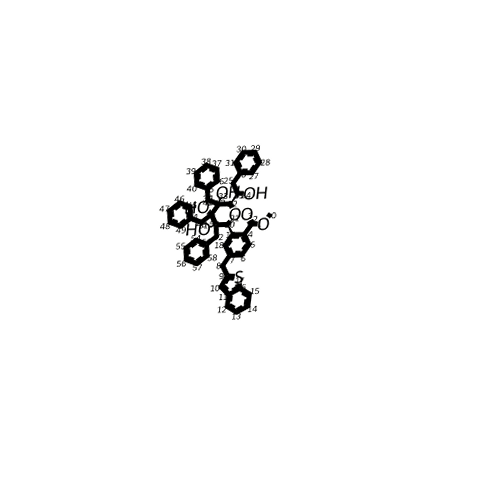 COC(=O)c1ccc(Cc2cc3ccccc3s2)cc1[C@@H]1O[C@H](C(O)Cc2ccccc2)[C@](O)(Cc2ccccc2)[C@@](O)(Cc2ccccc2)[C@]1(O)Cc1ccccc1